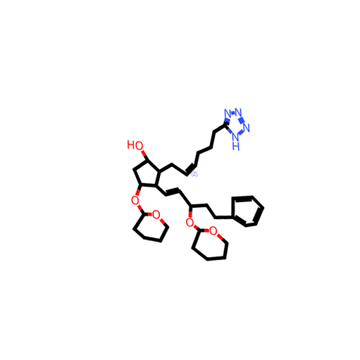 OC1CC(OC2CCCCO2)C(C=CC(CCc2ccccc2)OC2CCCCO2)C1C/C=C\CCCc1nnn[nH]1